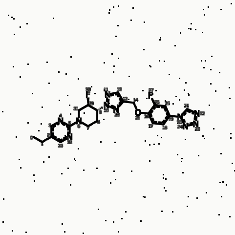 CCc1cnc(N2CC[C@@H](n3ncc(COc4ccc(-n5cnnn5)cc4F)n3)[C@H](F)C2)nc1